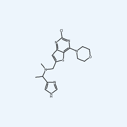 CC(c1c[nH]cn1)N(C)Cc1cc2nc(Cl)nc(N3CCOCC3)c2s1